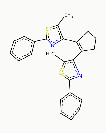 Cc1sc(-c2ccccc2)nc1C1=C(c2nc(-c3ccccc3)sc2C)CCC1